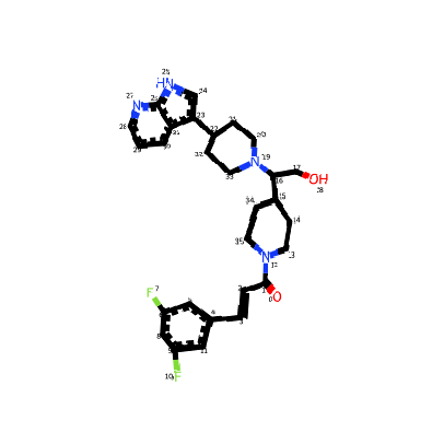 O=C(C=Cc1cc(F)cc(F)c1)N1CCC(C(CO)N2CCC(c3c[nH]c4ncccc34)CC2)CC1